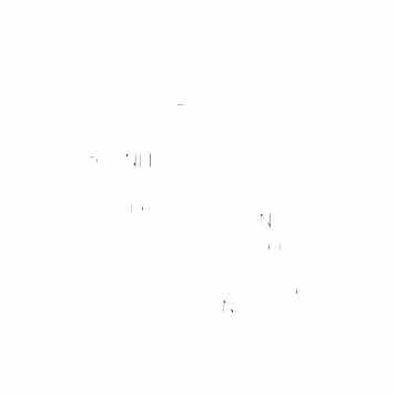 Cc1ccc(-c2cc(C(=O)NC(C)C)cc(C3=NOC(c4ncccc4Cl)C3)c2)c(F)c1